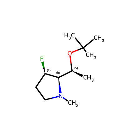 C[C@H](OC(C)(C)C)[C@@H]1[C@H](F)CCN1C